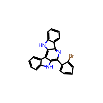 Brc1ccccc1-c1nc2c3ccccc3[nH]c2c2c1[nH]c1ccccc12